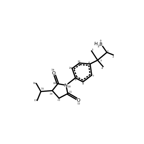 BC(C)C(C)(C)c1ccc(N2C(=O)CC(C(C)C)C2=O)cc1